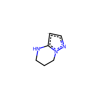 [c]1cnn2c1NCCC2